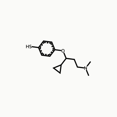 CN(C)CCC(Oc1ccc(S)cc1)C1CC1